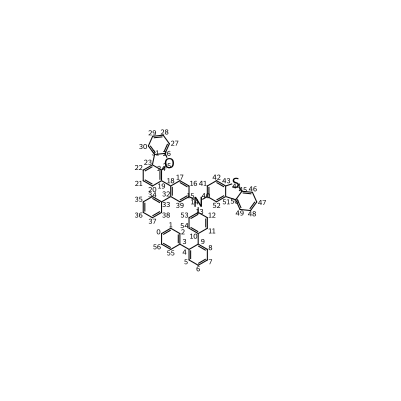 c1ccc(-c2ccccc2-c2ccc(N(c3ccc(-c4cccc5c4oc4ccccc45)c(-c4ccccc4)c3)c3ccc4sc5ccccc5c4c3)cc2)cc1